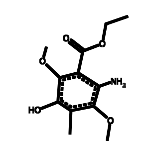 CCOC(=O)c1c(N)c(OC)c(C)c(O)c1OC